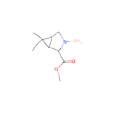 BN1CC2C(C1C(=O)OC)C2(C)C